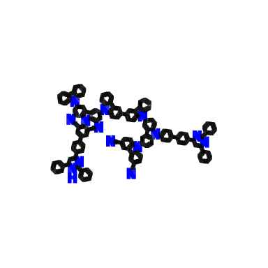 N#Cc1ccc2c(c1)c1cc(C#N)ccc1n2-c1ccc2c(c1)c1cc(-n3c4ccccc4c4cc(-c5ccc6c(c5)c5ccccc5n6-c5ccc6c(c5)c5cc(-n7c8ccccc8c8ccccc87)ccc5n6-c5c(C#N)cc(-c6ccc(C7=CC(c8ccccc8)NC(c8ccccc8)=N7)cc6)cc5C#N)ccc43)ccc1n2-c1ccc(-c2ccc(-c3cc(-c4ccccc4)nc(-c4ccccc4)n3)cc2)cc1